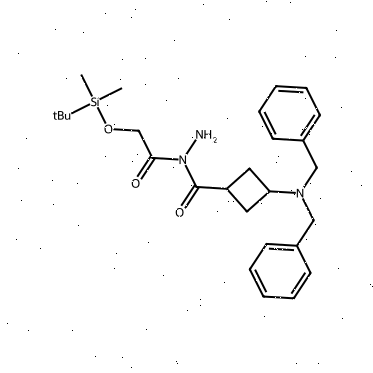 CC(C)(C)[Si](C)(C)OCC(=O)N(N)C(=O)C1CC(N(Cc2ccccc2)Cc2ccccc2)C1